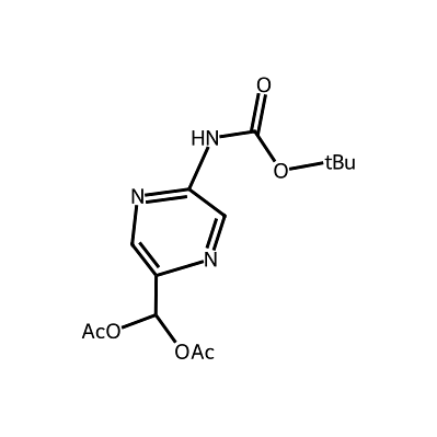 CC(=O)OC(OC(C)=O)c1cnc(NC(=O)OC(C)(C)C)cn1